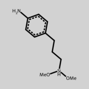 CO[SiH](CCCc1ccc(N)cc1)OC